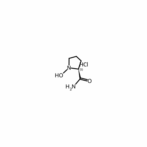 Cl.NC(=O)[C@@H]1CCCN1O